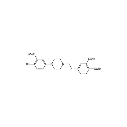 COc1cc(N2CCN(CCc3ccc(OC)c(OC)c3)CC2)ccc1Br